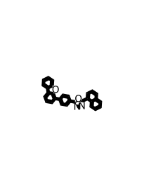 c1ccc2c(-c3nnc(-c4ccc(-c5cccc6c5oc5ccccc56)cc4)o3)cccc2c1